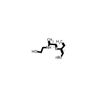 C=CC(=C/CCCC)/N=C/C(=C)NCCO